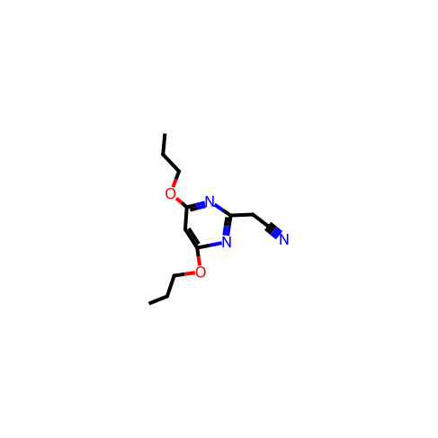 CCCOc1cc(OCCC)nc(CC#N)n1